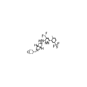 Cc1ccc(C(F)(F)F)cc1-c1cc(C(F)F)c(N[C@@H]2C[C@@H]3CN(CC4CCOCC4)C[C@@H]3C2)nn1